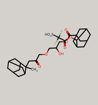 CC1(CC(=O)COCC(O)COC(=O)C23CC4CC(C2)C(OC(=O)C(F)(F)S(=O)(=O)O)C(C4)C3)C2CC3CC(C2)CC1C3